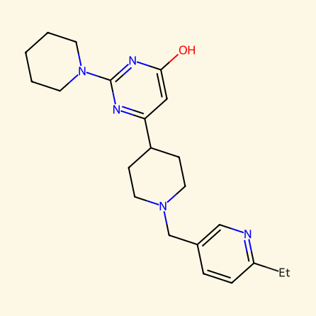 CCc1ccc(CN2CCC(c3cc(O)nc(N4CCCCC4)n3)CC2)cn1